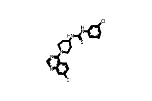 S=C(Nc1cccc(Cl)c1)NC1CCN(c2ncnc3cc(Cl)ccc23)CC1